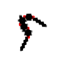 CCCCCCCCOc1ccc(Oc2cc3c(cc2C)oc2cc(C)c(Oc4ccc(OCCCCCCCC)cc4)cc23)cc1